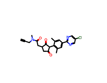 C#CCN(C)C(=O)CC1CC(=O)C(c2c(C)cc(-c3ncc(Cl)cn3)cc2C)C1=O